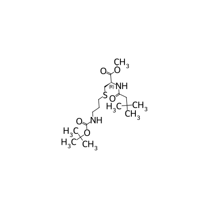 COC(=O)[C@H](CSCCCNC(=O)OC(C)(C)C)NC(=O)CC(C)(C)C